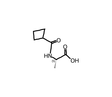 C[C@H](NC(=O)C1CCC1)C(=O)O